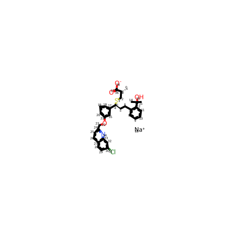 C[C@H](CS[C@@H](CCc1ccccc1C(C)(C)O)c1cccc(OCc2ccc3ccc(Cl)cc3n2)c1)C(=O)[O-].[Na+]